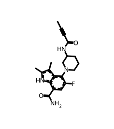 CC#CC(=O)NC1CCCN(c2c(F)cc(C(N)=O)c3[nH]c(C)c(C)c23)C1